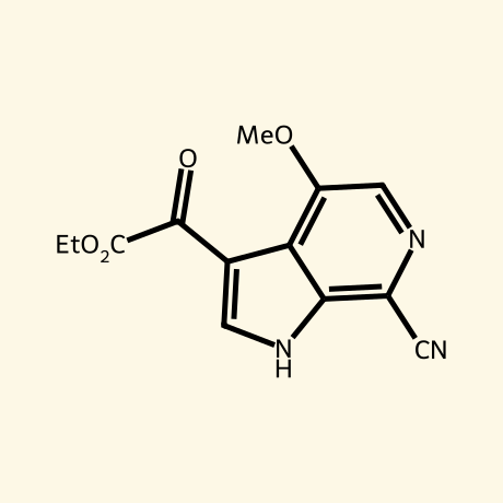 CCOC(=O)C(=O)c1c[nH]c2c(C#N)ncc(OC)c12